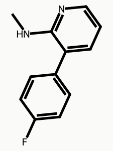 CNc1ncccc1-c1ccc(F)cc1